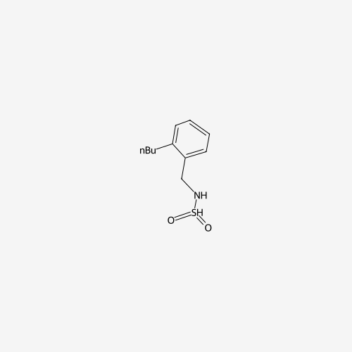 CCCCc1ccccc1CN[SH](=O)=O